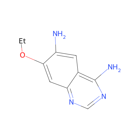 CCOc1cc2ncnc(N)c2cc1N